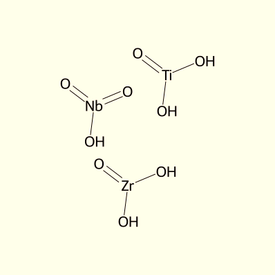 [O]=[Nb](=[O])[OH].[O]=[Ti]([OH])[OH].[O]=[Zr]([OH])[OH]